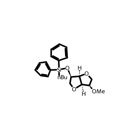 CCCC[Si](O[C@@H]1CO[C@H]2[C@@H]1OC[C@H]2OC)(c1ccccc1)c1ccccc1